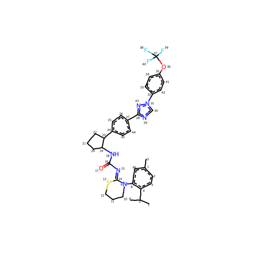 Cc1ccc(C(C)C)c(N2CCCS/C2=N\C(=O)NC2CCCC2c2ccc(-c3ncn(-c4ccc(OC(F)(F)F)cc4)n3)cc2)c1